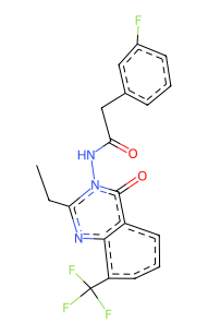 CCc1nc2c(C(F)(F)F)cccc2c(=O)n1NC(=O)Cc1cccc(F)c1